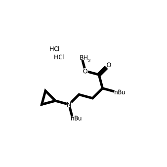 BOC(=O)C(CCCC)CCN(CCCC)C1CC1.Cl.Cl